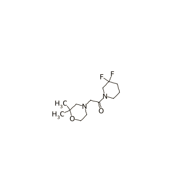 CC1(C)CN(CC(=O)N2CCCC(F)(F)C2)CCO1